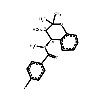 CN(C(=O)c1ccc(F)cc1)[C@@H]1c2ccccc2OC(C)(C)[C@H]1O